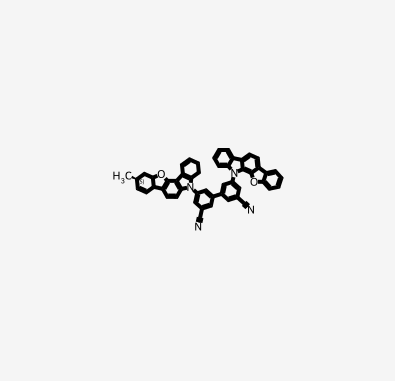 C[C@@H]1C=CC2c3ccc4c(c5c(n4-c4cc(C#N)cc(-c6cc(C#N)cc(-n7c8ccccc8c8ccc9c%10ccccc%10oc9c87)c6)c4)CCC=C5)c3OC2C1